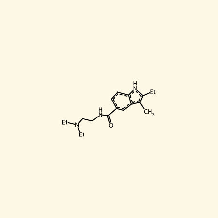 CCc1[nH]c2ccc(C(=O)NCCN(CC)CC)cc2c1C